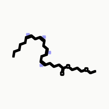 CCCCC/C=C\C/C=C\C/C=C\C/C=C\CCCC(=O)OCCCOCC